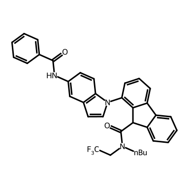 CCCCN(CC(F)(F)F)C(=O)C1c2ccccc2-c2cccc(-n3ccc4cc(NC(=O)c5ccccc5)ccc43)c21